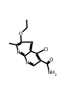 CCOc1cc2c(Cl)c(C(N)=O)cnc2nc1C